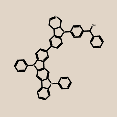 OC(c1ccccc1)c1ccc(N2c3ccc(-c4ccc5c(c4)c4cc6c(cc4n5-c4ccccc4)c4ccccc4n6-c4ccccc4)cc3C3CC=NCC32)cc1